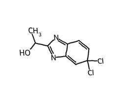 CC(O)C1=NC2=CC(Cl)(Cl)C=CC2=N1